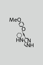 COc1ccc(OCC#Cc2cnc3[nH]ccc3c2NC2CCCCC2)cc1